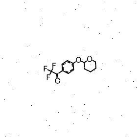 O=C(c1ccc(OC2CCCCO2)cc1)C(F)(F)F